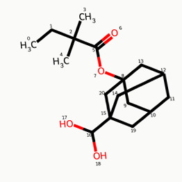 CCC(C)(C)C(=O)OC12CC3CC(C1)CC(C(O)O)(C3)C2